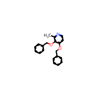 Cc1nccc(OCc2ccccc2)c1OCc1ccccc1